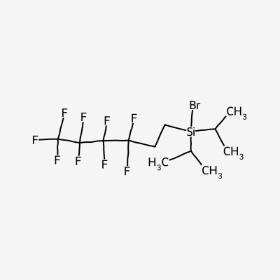 CC(C)[Si](Br)(CCC(F)(F)C(F)(F)C(F)(F)C(F)(F)F)C(C)C